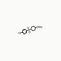 COC1CCN(S(=O)(=O)c2ccc(Cl)nc2)CC1